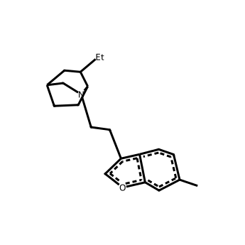 CCC1CC2CCC1N(CCc1coc3cc(C)ccc13)C2